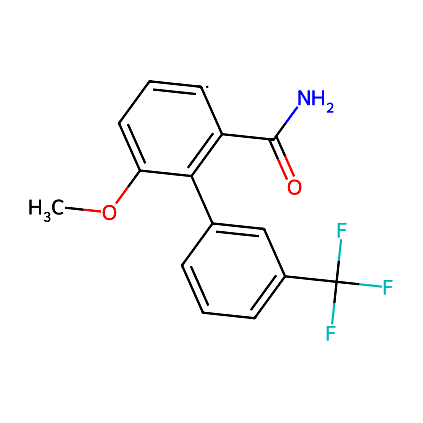 COc1cc[c]c(C(N)=O)c1-c1cccc(C(F)(F)F)c1